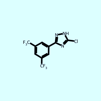 FC(F)(F)c1cc(-c2n[nH]c(Cl)n2)cc(C(F)(F)F)c1